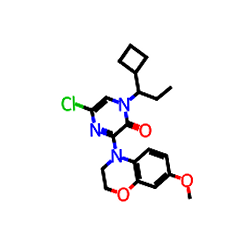 CCC(C1CCC1)n1cc(Cl)nc(N2CCOc3cc(OC)ccc32)c1=O